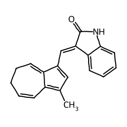 CC1=C2C=CCCC=C2C(/C=C2/C(=O)Nc3ccccc32)=C1